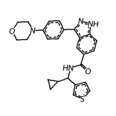 O=C(NC(c1ccsc1)C1CC1)c1ccc2[nH]nc(-c3ccc(N4CCOCC4)cc3)c2c1